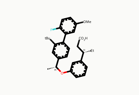 CC[C@@H](CC(=O)O)c1cccc(O[C@H](C)c2ccc(-c3cc(OC)ccc3F)c(C(C)(C)C)c2)c1